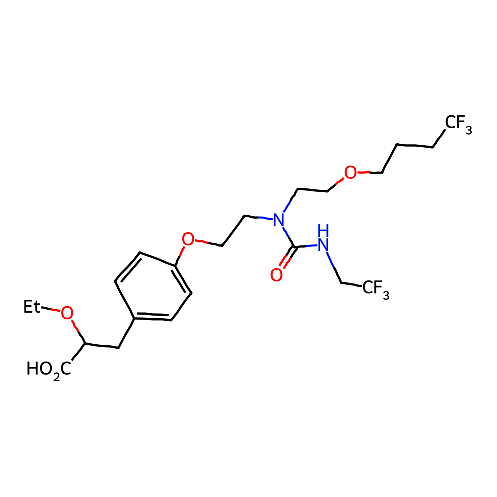 CCOC(Cc1ccc(OCCN(CCOCCCC(F)(F)F)C(=O)NCC(F)(F)F)cc1)C(=O)O